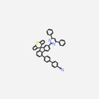 N#Cc1ccc(-c2ccc(-c3cccc4c3-c3ccc(-c5nc(-c6ccccc6)cc(-c6ccccc6)n5)cc3C43c4ccccc4Sc4ccccc43)cc2)cc1